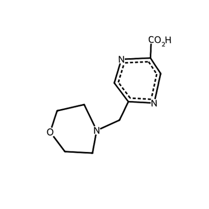 O=C(O)c1cnc(CN2CCOCC2)cn1